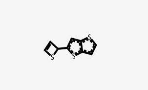 C1=CC(c2cc3sccc3s2)S1